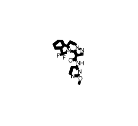 COc1nccc(NC(=O)c2cnn3ccc(-c4ccccc4C(F)(F)F)nc23)n1